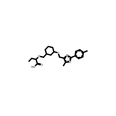 CCC(OCC1CCCC(OCc2nc(-c3ccc(C)cc3)oc2C)C1)C(=O)O